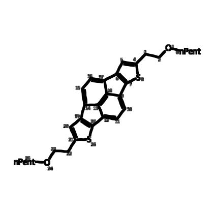 CCCCCOCCc1cc2c(s1)-c1ccc3c4c(ccc-2c14)-c1cc(CCOCCCCC)sc1-3